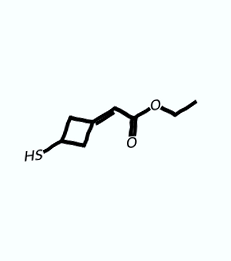 CCOC(=O)C=C1CC(S)C1